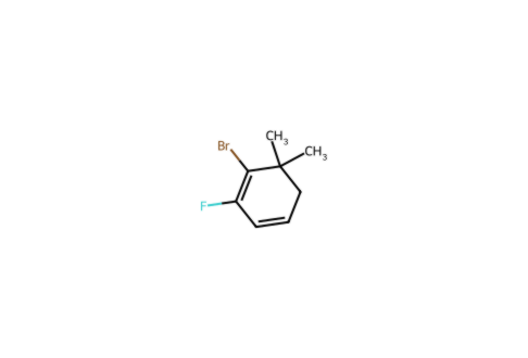 CC1(C)CC=CC(F)=C1Br